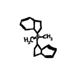 CS(C)(C1CCC2C=CC=CC21)C1CCC2C=CC=CC21